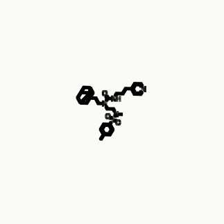 Cc1ccc(S(=O)(=O)N(C)CCN(CCC23CC4CC(CC(C4)C2)C3)C(=O)NCCCc2ccncc2)cc1